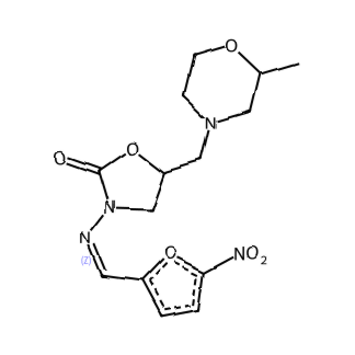 CC1CN(CC2CN(/N=C\c3ccc([N+](=O)[O-])o3)C(=O)O2)CCO1